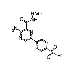 CNNC(=O)c1nc(-c2ccc(S(=O)(=O)C(C)C)cc2)cnc1N